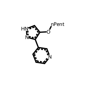 CCCCCOc1c[nH]nc1-c1cccnc1